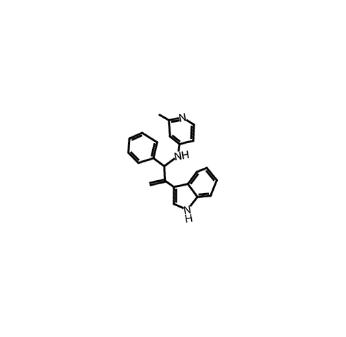 C=C(c1c[nH]c2ccccc12)C(Nc1ccnc(C)c1)c1ccccc1